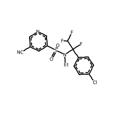 CCN(C(F)(c1ccc(Cl)cc1)C(F)F)S(=O)(=O)c1cncc(C#N)c1